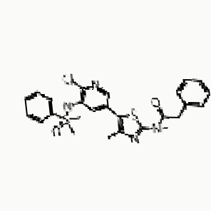 Cc1nc(NC(=O)Cc2ccccc2)sc1-c1cnc(Cl)c(NS(C)(C)(=O)c2ccccc2)c1